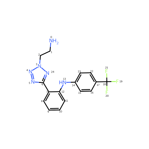 NCCn1nnc(-c2ccccc2Nc2ccc(C(F)(F)F)cc2)n1